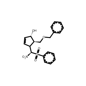 O=[N+]([O-])[C@@H](C1C=C[C@H](O)[C@H]1COCc1ccccc1)S(=O)(=O)c1ccccc1